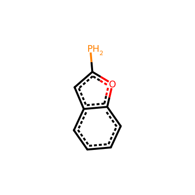 Pc1cc2ccccc2o1